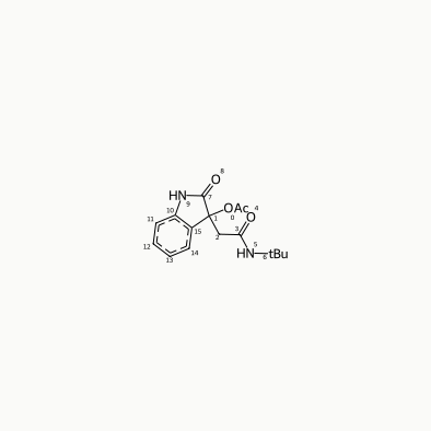 CC(=O)OC1(CC(=O)NC(C)(C)C)C(=O)Nc2ccccc21